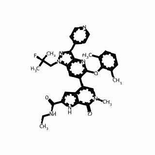 CCNC(=O)c1cc2c(-c3cc4c(nc3Oc3c(C)cccc3C)c(-c3ccncc3)nn4CC(C)(C)F)cn(C)c(=O)c2[nH]1